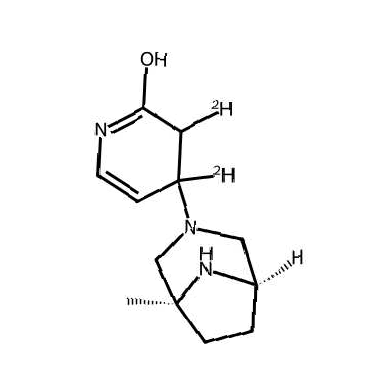 [2H]C1C(O)=NC=CC1([2H])N1C[C@H]2CC[C@@](C)(C1)N2